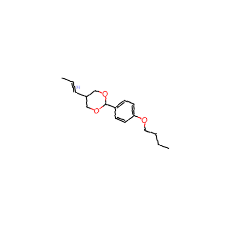 C/C=C/C1COC(c2ccc(OCCCC)cc2)OC1